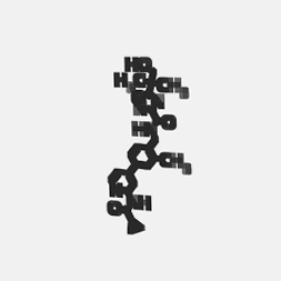 Cc1cc(-c2ccnc(NC(=O)C3CC3)c2)ccc1CNC(=O)c1noc(C(C)(C)CO)n1